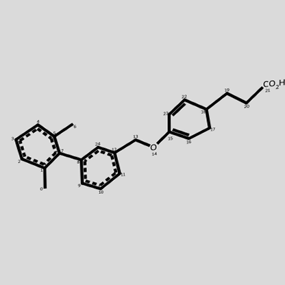 Cc1cccc(C)c1-c1cccc(COC2=CCC(CCC(=O)O)C=C2)c1